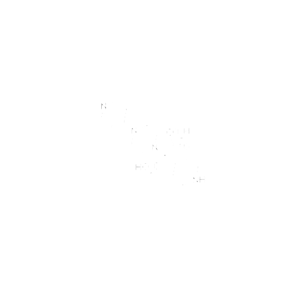 O=C(O)C(=O)C(C(=O)O)(C1CCNCC1)N1CCN(c2ccncc2)CC1